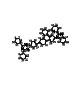 c1ccc(-c2nc(-c3ccccc3)nc(-c3ccc(-c4ccc5c6ccc(-n7c(-c8ccccn8)nc8ccccc87)cc6c6ccccc6c5c4)cc3)n2)cc1